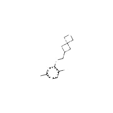 Fc1cnc(Cl)nc1OCC1CC2(CNC2)C1